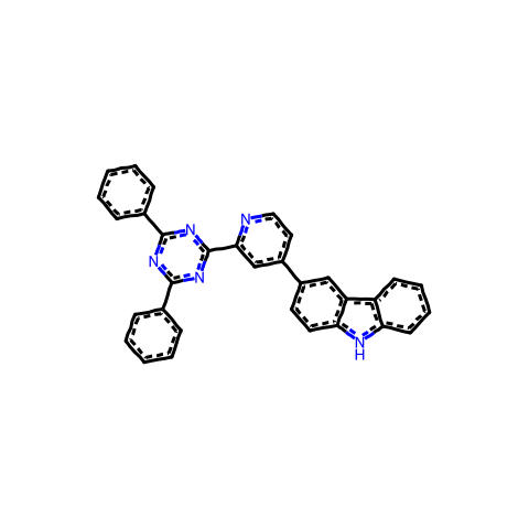 c1ccc(-c2nc(-c3ccccc3)nc(-c3cc(-c4ccc5[nH]c6ccccc6c5c4)ccn3)n2)cc1